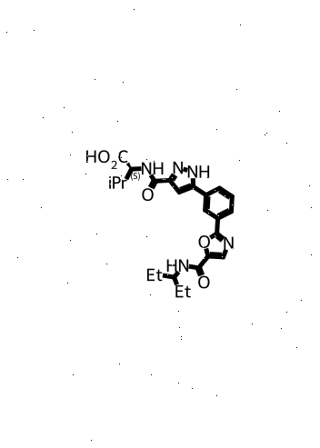 CCC(CC)NC(=O)c1cnc(-c2cccc(-c3cc(C(=O)N[C@H](C(=O)O)C(C)C)n[nH]3)c2)o1